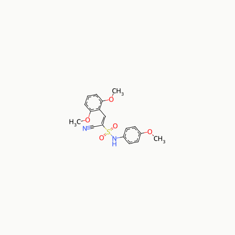 COc1ccc(NS(=O)(=O)C(C#N)=Cc2c(OC)cccc2OC)cc1